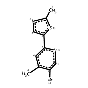 Cc1ncc(-c2cc(C)c(Br)cn2)s1